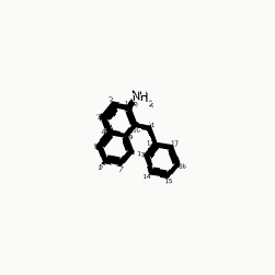 Nc1ccc2ccccc2c1Cc1ccccc1